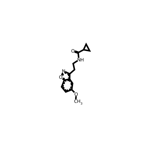 COc1ccc2onc(CCNC(=O)C3CC3)c2c1